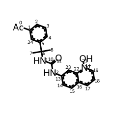 CC(=O)c1cccc(C(C)(C)NC(=O)Nc2ccc3ccc[n+](O)c3c2)c1